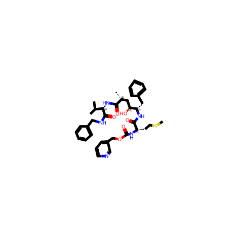 CSCC[C@H](NC(=O)OCc1cccnc1)C(=O)N[C@@H](Cc1ccccc1)[C@@H](O)C[C@@H](C)C(=O)N[C@H](C(=O)NCc1ccccc1)C(C)C